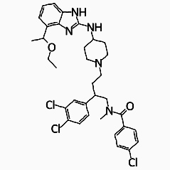 CCOC(C)c1cccc2[nH]c(NC3CCN(CCC(CN(C)C(=O)c4ccc(Cl)cc4)c4ccc(Cl)c(Cl)c4)CC3)nc12